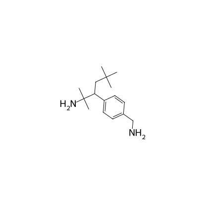 CC(C)(C)CC(c1ccc(CN)cc1)C(C)(C)N